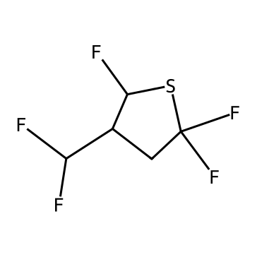 FC(F)C1CC(F)(F)SC1F